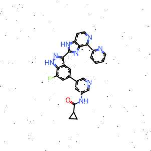 O=C(Nc1cncc(-c2cc(F)c3[nH]nc(-c4nc5c(-c6ccccn6)nccc5[nH]4)c3c2)c1)C1CC1